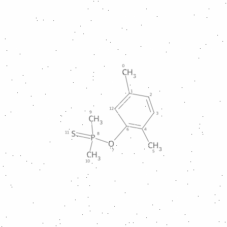 Cc1ccc(C)c(OP(C)(C)=S)c1